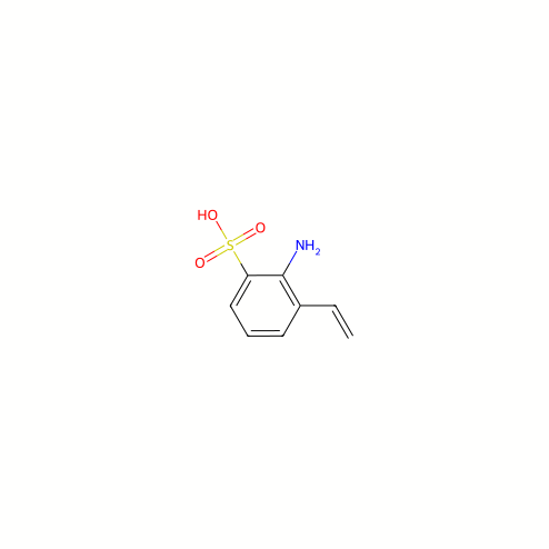 C=Cc1cccc(S(=O)(=O)O)c1N